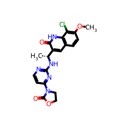 COc1ccc2cc([C@@H](C)Nc3nccc(N4CCOC4=O)n3)c(=O)[nH]c2c1Cl